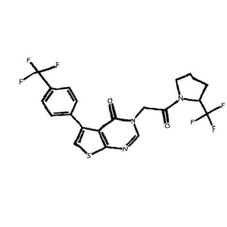 O=C(Cn1cnc2scc(-c3ccc(C(F)(F)F)cc3)c2c1=O)N1CCCC1C(F)(F)F